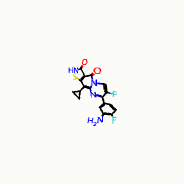 Nc1cc(-c2nc3c(C4CC4)c4s[nH]c(=O)c4c(=O)n3cc2F)ccc1F